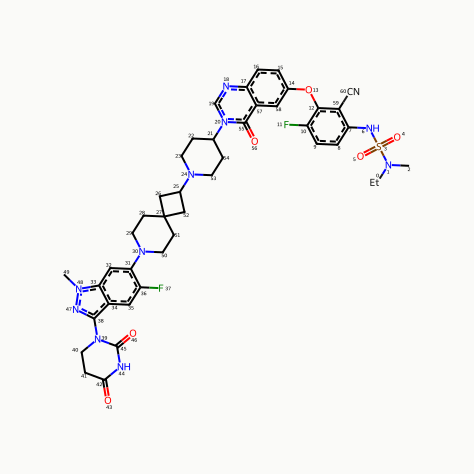 CCN(C)S(=O)(=O)Nc1ccc(F)c(Oc2ccc3ncn(C4CCN(C5CC6(CCN(c7cc8c(cc7F)c(N7CCC(=O)NC7=O)nn8C)CC6)C5)CC4)c(=O)c3c2)c1C#N